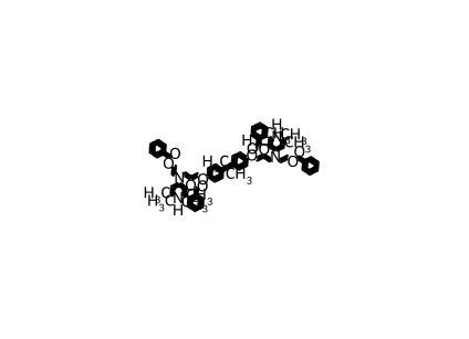 CC1(C)CC(N(CCOC(=O)c2ccccc2)CC(COc2ccc(C(C)(C)c3ccc(OCC(CN(CCOC(=O)c4ccccc4)C4CC(C)(C)NC(C)(C)C4)OC(=O)c4ccccc4)cc3)cc2)OC(=O)c2ccccc2)CC(C)(C)N1